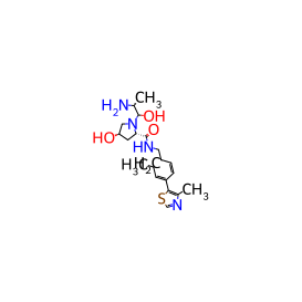 C=C(/C=C\C(=C/CC)c1scnc1C)CNC(=O)[C@@H]1C[C@@H](O)CN1C(O)[C@H](C)N